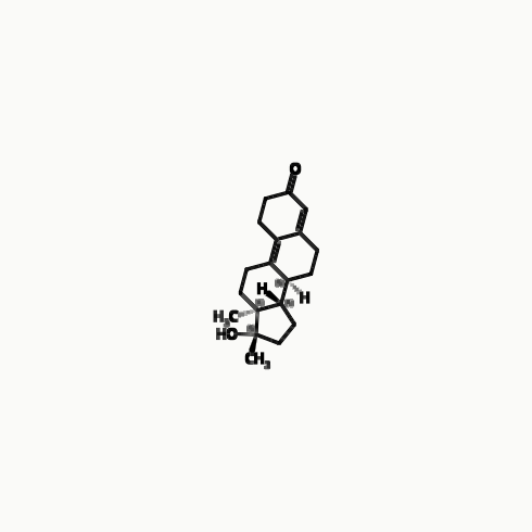 C[C@]1(O)CC[C@H]2[C@@H]3CCC4=CC(=O)CCC4=C3CC[C@@]21C